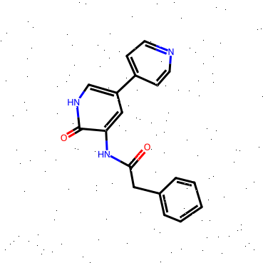 O=C(Cc1ccccc1)Nc1cc(-c2ccncc2)c[nH]c1=O